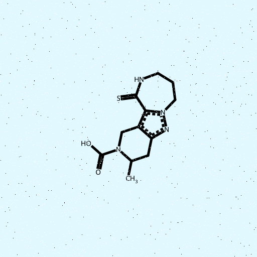 CC1Cc2nn3c(c2CN1C(=O)O)C(=S)NCCC3